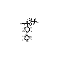 C#CC(C)(OC(=O)C(C)(C)C)c1ccc(-c2ccccc2)cc1